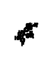 CN(C)CCN(C)S(=O)(=O)c1ccc(N/C(=C2\C(=O)Nc3cc(F)ccc32)c2ccc3c(c2)ncn3C)cc1